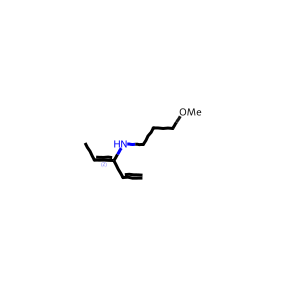 C=C/C(=C/C)NCCCOC